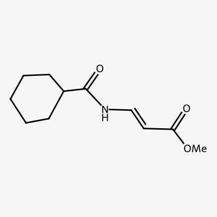 COC(=O)/C=C/NC(=O)C1CCCCC1